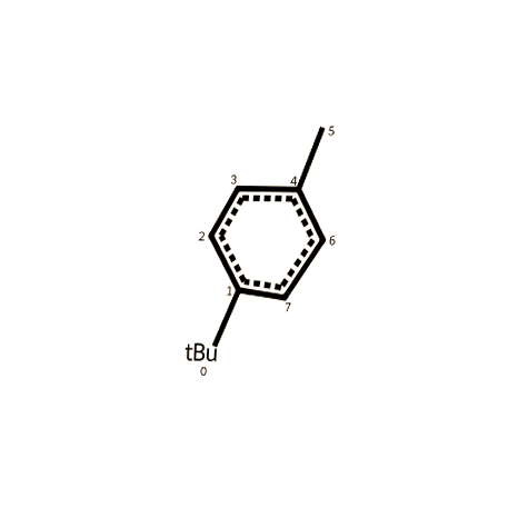 [CH2]C(C)(C)c1ccc(C)cc1